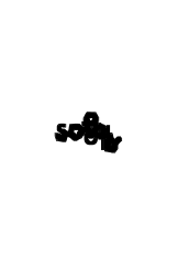 Cc1cccnc1CN1CCC2(CC1)C(=O)N(c1ccc(-c3cccs3)cc1)c1ccccc12